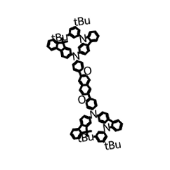 CC(C)(C)c1cc(-n2c3ccccc3c3ccc(N(c4ccc5c(c4)C(C)(C)c4ccccc4-5)c4ccc5c(c4)oc4cc6cc7c(cc6cc45)oc4cc(N(c5ccc6c(c5)C(C)(C)c5ccccc5-6)c5ccc6c8ccccc8n(-c8cc(C(C)(C)C)cc(C(C)(C)C)c8)c6c5)ccc47)cc32)cc(C(C)(C)C)c1